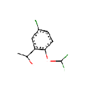 CC(O)c1cc(Cl)ccc1OC(F)F